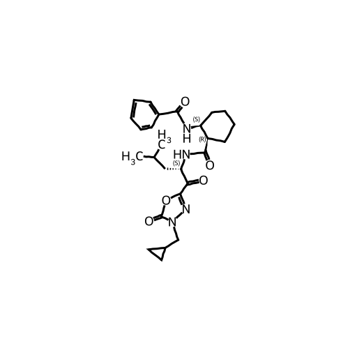 CC(C)C[C@H](NC(=O)[C@@H]1CCCC[C@@H]1NC(=O)c1ccccc1)C(=O)c1nn(CC2CC2)c(=O)o1